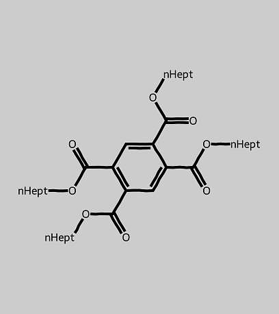 CCCCCCCOC(=O)c1cc(C(=O)OCCCCCCC)c(C(=O)OCCCCCCC)cc1C(=O)OCCCCCCC